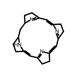 C1=C2/CCC(=N2)/C=C2/CCC(CC3CCC(=N3)/C=C3/CCC/1=N3)N2